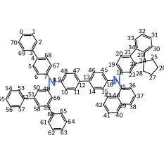 c1ccc(-c2ccc(N(c3ccc(-c4ccc(N(c5ccc6c(c5)C5(CCCC5)c5ccccc5-6)c5cccc6ccccc56)cc4)cc3)c3cc(-c4ccccc4)cc(-c4ccccc4)c3)cc2)cc1